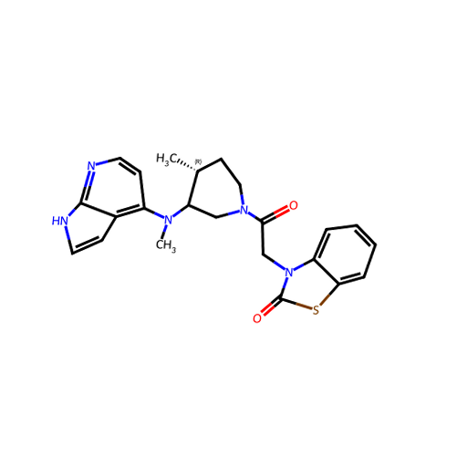 C[C@@H]1CCN(C(=O)Cn2c(=O)sc3ccccc32)CC1N(C)c1ccnc2[nH]ccc12